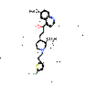 COc1ccc2nccc(C(O)CC[C@@H]3CCN(CCc4ccc(Cl)s4)C[C@@H]3C(=O)O)c2c1